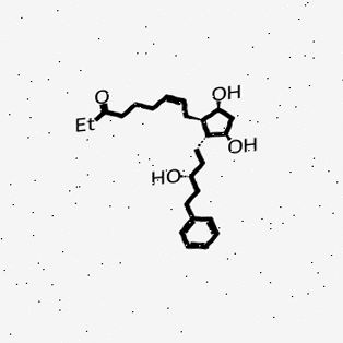 CCC(=O)CCC/C=C\C[C@@H]1[C@@H](CC[C@@H](O)CCc2ccccc2)[C@H](O)C[C@@H]1O